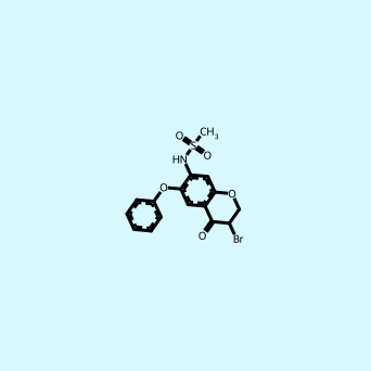 CS(=O)(=O)Nc1cc2c(cc1Oc1ccccc1)C(=O)C(Br)CO2